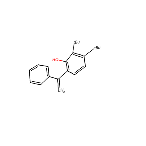 C=C(c1ccccc1)c1ccc(C(C)(C)C)c(C(C)(C)C)c1O